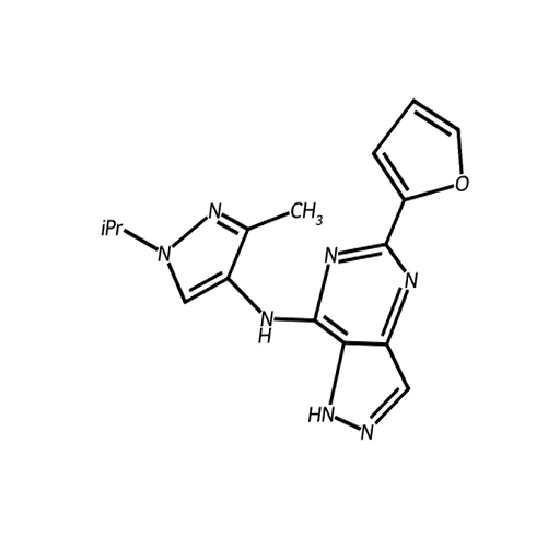 Cc1nn(C(C)C)cc1Nc1nc(-c2ccco2)nc2cn[nH]c12